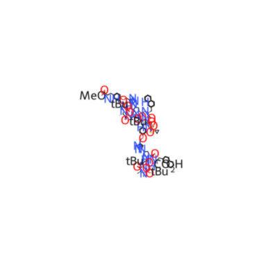 COC(=O)[C@@H](N)Cc1ccc(OCc2cn([C@H]3C[C@@H](C(=O)N[C@@H](Cc4ccc5ccccc5c4)C(=O)N[C@@H](Cc4ccc(OCc5cn([C@H]6C[C@@H](C(=O)N[C@@H](Cc7ccc8ccccc8c7)C(=O)O)N(C(=O)[C@H](NC(=O)[C@H](C)N(C)C(=O)OC(C)(C)C)C(C)(C)C)C6)nn5)cc4)C(=O)NS(=O)(=O)C4CC4)N(C(=O)[C@@H](NC(=O)[C@H](C)N(C)C(=O)OC(C)(C)C)C(C)(C)C)C3)nn2)cc1